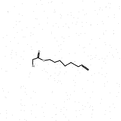 C=CCCCCCCOC(=O)CC(C)=O